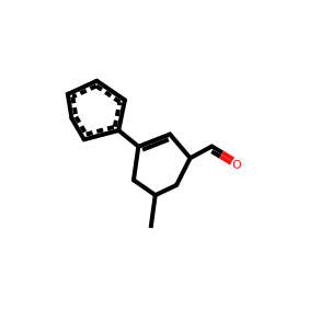 CC1CC(c2ccccc2)=CC(C=O)C1